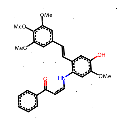 COc1cc(N/C=C\C(=O)c2ccccc2)c(/C=C/c2cc(OC)c(OC)c(OC)c2)cc1O